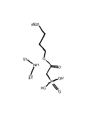 CCCCCCCCCCCCOC(=O)CP(=O)(O)O.CCNCC